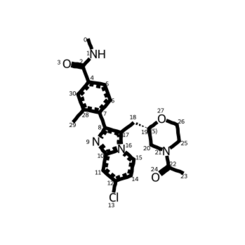 CNC(=O)c1ccc(-c2nc3cc(Cl)ccn3c2C[C@H]2CN(C(C)=O)CCO2)c(C)c1